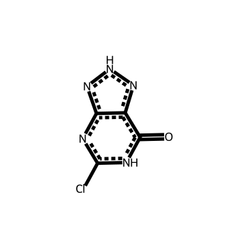 O=c1[nH]c(Cl)nc2n[nH]nc12